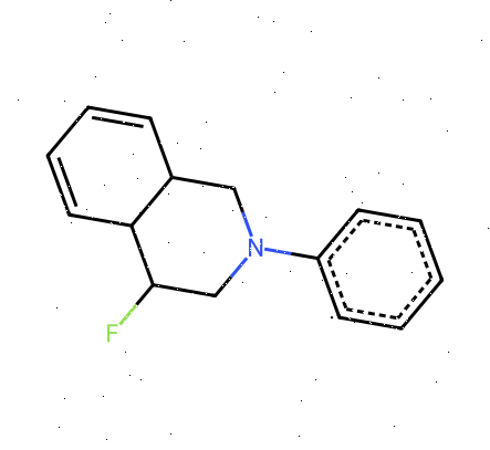 FC1CN(c2[c]cccc2)CC2C=CC=CC12